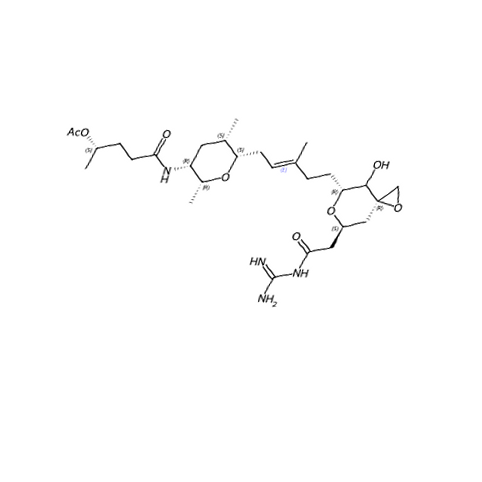 CC(=O)O[C@@H](C)CCC(=O)N[C@@H]1C[C@H](C)[C@H](C/C=C(\C)CC[C@H]2O[C@H](CC(=O)NC(=N)N)C[C@@]3(CO3)C2O)O[C@@H]1C